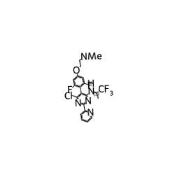 CNCCOc1cc(F)c(-c2c(Cl)nc(-c3ccccn3)nc2N[C@@H](C)C(F)(F)F)c(F)c1